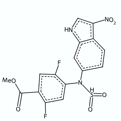 COC(=O)c1cc(F)c(N(c2ccc3c([N+](=O)[O-])c[nH]c3c2)[SH](=O)=O)cc1F